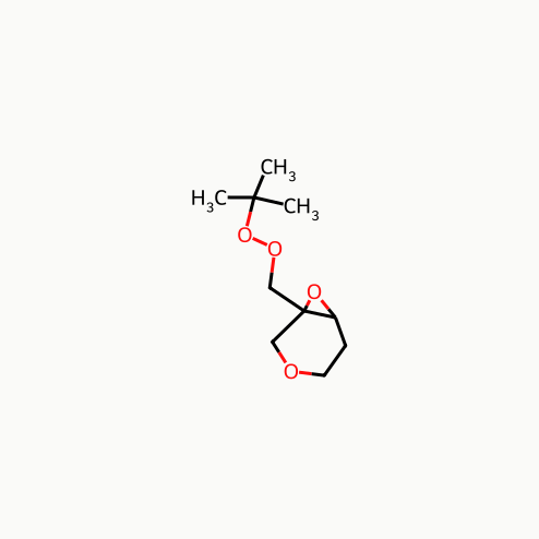 CC(C)(C)OOCC12COCCC1O2